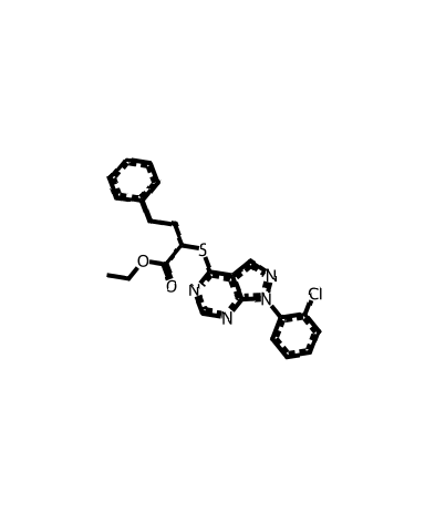 CCOC(=O)C(CCc1ccccc1)Sc1ncnc2c1cnn2-c1ccccc1Cl